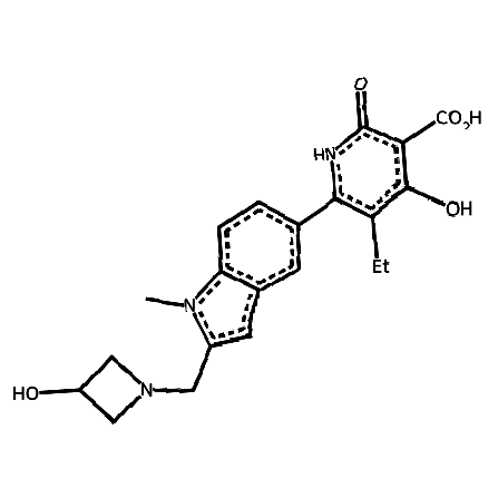 CCc1c(-c2ccc3c(c2)cc(CN2CC(O)C2)n3C)[nH]c(=O)c(C(=O)O)c1O